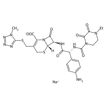 CCN1CCN(C(=O)N[C@@H](C(=O)N[C@@H]2C(=O)N3C(C(=O)[O-])=C(CSc4nnnn4C)CS[C@@H]23)c2ccc(N)cc2)C(=O)C1=O.[Na+]